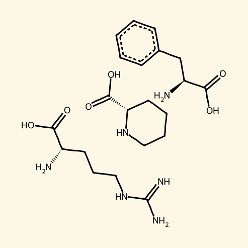 N=C(N)NCCC[C@H](N)C(=O)O.N[C@@H](Cc1ccccc1)C(=O)O.O=C(O)[C@@H]1CCCCN1